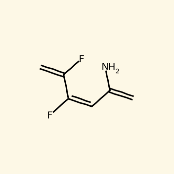 C=C(N)/C=C(/F)C(=C)F